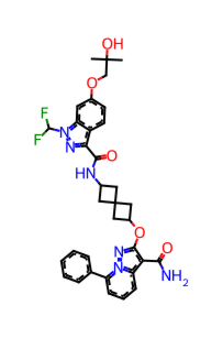 CC(C)(O)COc1ccc2c(C(=O)NC3CC4(C3)CC(Oc3nn5c(-c6ccccc6)cccc5c3C(N)=O)C4)nn(C(F)F)c2c1